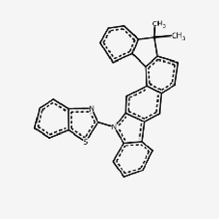 CC1(C)c2ccccc2-c2c1ccc1cc3c4ccccc4n(-c4nc5ccccc5s4)c3cc21